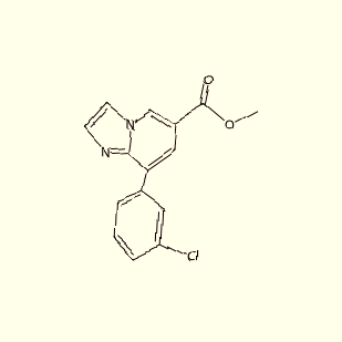 COC(=O)c1cc(-c2cccc(Cl)c2)c2nccn2c1